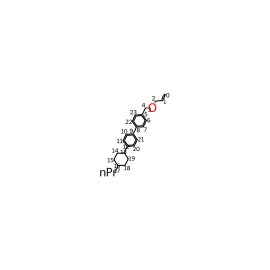 C=CCOCc1ccc(-c2ccc(C3CCC(CCC)CC3)cc2)cc1